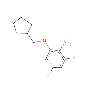 Nc1c(F)cc(F)cc1OCC1CCCC1